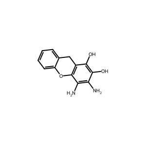 Nc1c(N)c2c(c(O)c1O)Cc1ccccc1O2